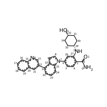 NC(=O)c1ccc(-n2ccc3c(-c4cnc5ccccc5c4)cccc32)cc1N[C@H]1CC[C@H](O)CC1